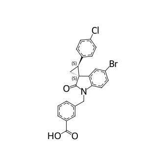 O=C(O)c1cccc(CN2C(=O)[C@]3(C[C@H]3c3ccc(Cl)cc3)c3cc(Br)ccc32)c1